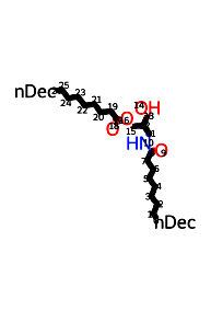 CCCCCCCCCCCCCCCCCC(=O)NCC(CO)COC(=O)CCCCCCCCCCCCCCCCC